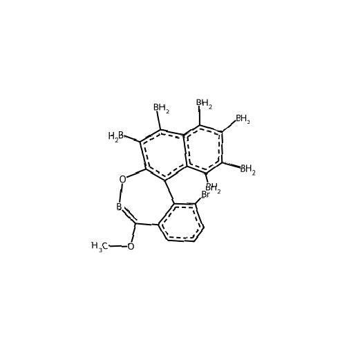 Bc1c(B)c(B)c2c3c(c(B)c(B)c2c1B)OB=C(OC)c1cccc(Br)c1-3